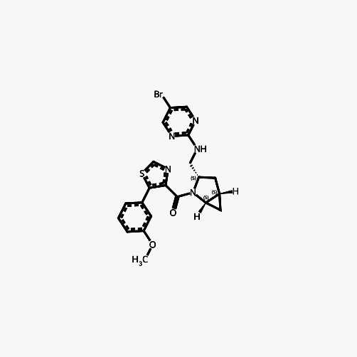 COc1cccc(-c2scnc2C(=O)N2[C@H](CNc3ncc(Br)cn3)C[C@@H]3C[C@@H]32)c1